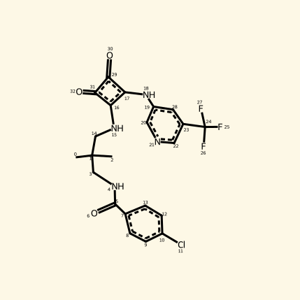 CC(C)(CNC(=O)c1ccc(Cl)cc1)CNc1c(Nc2cncc(C(F)(F)F)c2)c(=O)c1=O